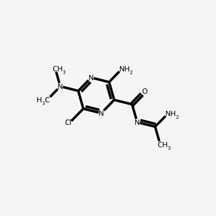 CC(N)=NC(=O)c1nc(Cl)c(N(C)C)nc1N